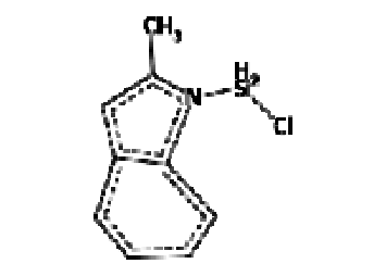 Cc1cc2ccccc2n1[SiH2]Cl